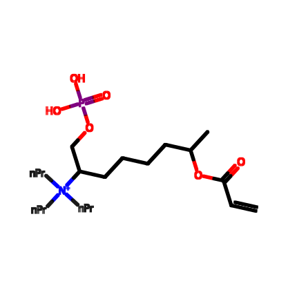 C=CC(=O)OC(C)CCCCC(COP(=O)(O)O)[N+](CCC)(CCC)CCC